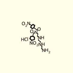 Cl.NCCNCCNCCN(C(=O)c1ccc([N+](=O)[O-])cc1)C(=O)c1ccc([N+](=O)[O-])cc1